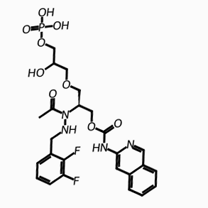 CC(=O)N(NCc1cccc(F)c1F)[C@@H](COCC(O)COP(=O)(O)O)COC(=O)Nc1cc2ccccc2cn1